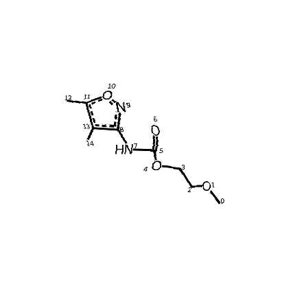 COCCOC(=O)Nc1noc(C)c1C